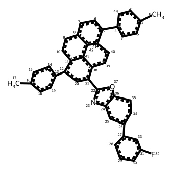 Cc1ccc(-c2ccc3ccc4c(-c5ccc(C)cc5)cc(-c5nc6cc(-c7cccc(F)c7)ccc6o5)c5ccc2c3c45)cc1